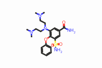 CN(C)CCN(CCN(C)C)c1cc(C(N)=O)cc(S(N)(=O)=O)c1Oc1ccccc1